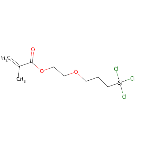 C=C(C)C(=O)OCCOCCC[Si](Cl)(Cl)Cl